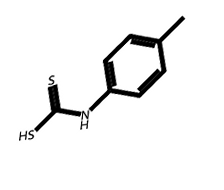 Cc1ccc(NC(=S)S)cc1